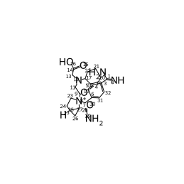 N=C(N)c1ccc(C[N+]2(C(=O)CN(CC(=O)O)C3CCCCC3)CC[C@@H]3C[C@@]32C(N)=O)cc1